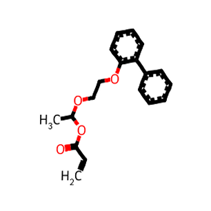 C=CC(=O)OC(C)OCCOc1ccccc1-c1ccccc1